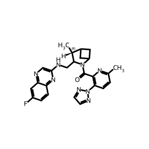 Cc1ccc(-n2nccn2)c(C(=O)N2C3CC(C3)[C@@H](C)C2CNc2cnc3cc(F)ccc3n2)n1